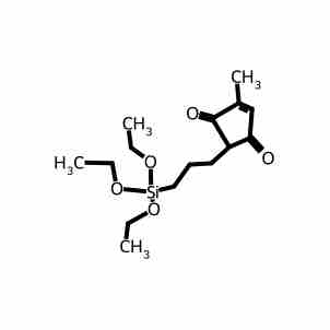 CCO[Si](CCCC1C(=O)C=C(C)C1=O)(OCC)OCC